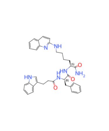 NC(=O)[C@H](CCCCNc1ccc2ccccc2n1)NC(=O)[C@@H](Cc1ccccc1)NC(=O)CCc1c[nH]c2ccccc12